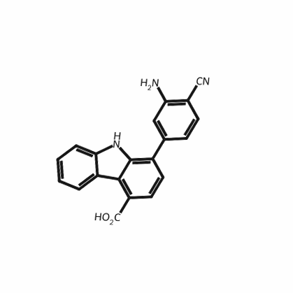 N#Cc1ccc(-c2ccc(C(=O)O)c3c2[nH]c2ccccc23)cc1N